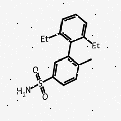 CCc1cccc(CC)c1-c1cc(S(N)(=O)=O)ccc1C